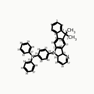 CC1(C)c2ccccc2-c2cc3c(cc21)C1N=CC=CC1N3c1ccc(N(c2ccccc2)c2ccccc2)cc1